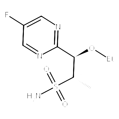 CCO[C@H](c1ncc(F)cn1)[C@H](C)S(N)(=O)=O